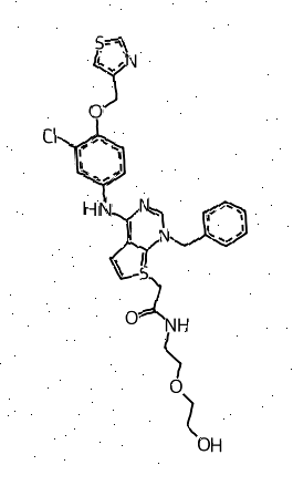 O=C(CS1=C2C(=C(Nc3ccc(OCc4cscn4)c(Cl)c3)N=CN2Cc2ccccc2)C=C1)NCCOCCO